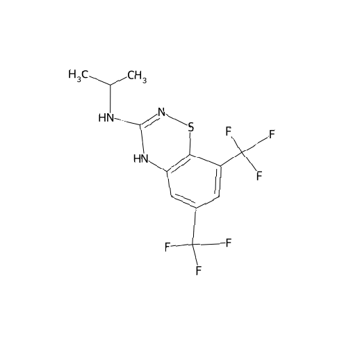 CC(C)NC1=NSc2c(cc(C(F)(F)F)cc2C(F)(F)F)N1